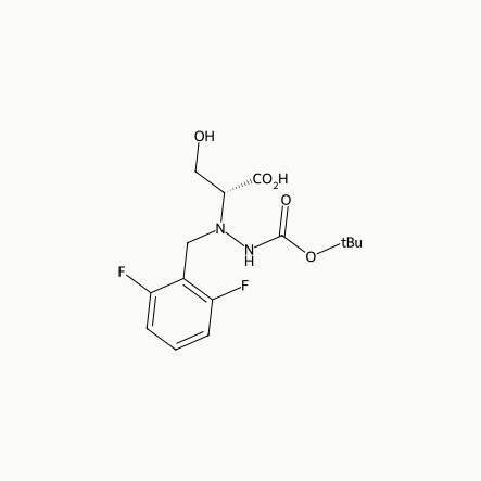 CC(C)(C)OC(=O)NN(Cc1c(F)cccc1F)[C@H](CO)C(=O)O